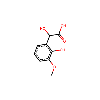 COc1cccc(C(O)C(=O)O)c1O